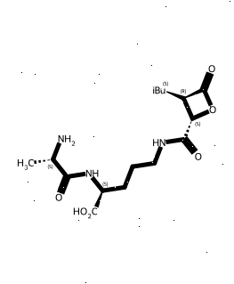 CC[C@H](C)[C@H]1C(=O)O[C@@H]1C(=O)NCCC[C@H](NC(=O)[C@H](C)N)C(=O)O